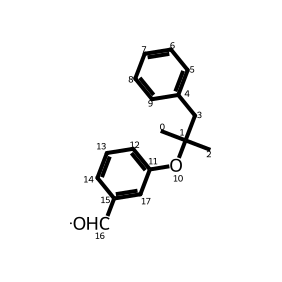 CC(C)(Cc1ccccc1)Oc1cccc([C]=O)c1